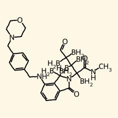 BC1(B)c2c(NCc3ccc(CN4CCOCC4)cc3)cccc2C(=O)N1C(B)(C(=O)NC)C(B)(B)C(B)(B)C=O